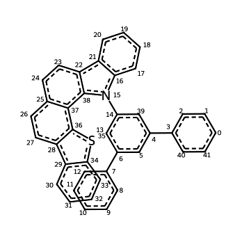 c1ccc(-c2cc(-c3ccccc3)cc(-n3c4ccccc4c4ccc5ccc6c7ccccc7sc6c5c43)c2)cc1